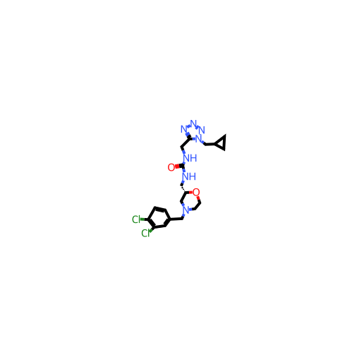 O=C(NCc1nnnn1CC1CC1)NC[C@H]1CN(Cc2ccc(Cl)c(Cl)c2)CCO1